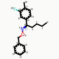 CCCC/C(=N\OCc1ccccc1)c1ccc(C)c(F)c1